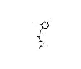 Cc1cc(Cl)ccc1CNC(=O)c1n[nH]c(=O)o1